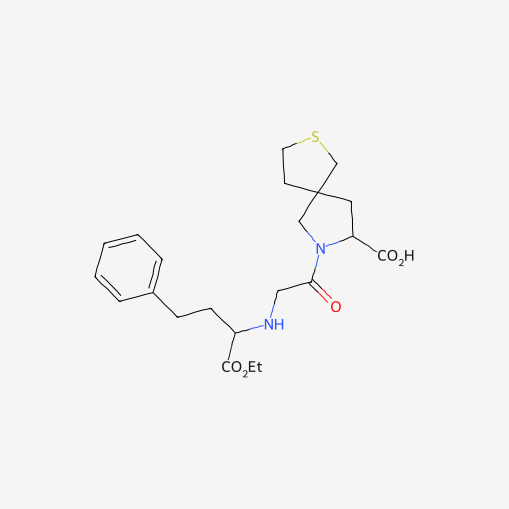 CCOC(=O)C(CCc1ccccc1)NCC(=O)N1CC2(CCSC2)CC1C(=O)O